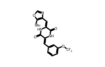 CC(C)(C)c1ocnc1C=c1[nH]c(=O)c(=Cc2cccc(OC(F)(F)F)c2)[nH]c1=O